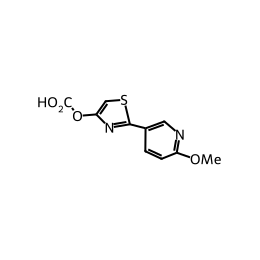 COc1ccc(-c2nc(OC(=O)O)cs2)cn1